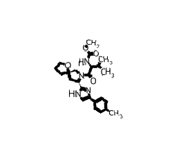 COC(=O)N[C@H](C(=O)N1C[C@]2(CCCO2)C[C@H]1c1nc(-c2ccc(C)cc2)c[nH]1)C(C)C